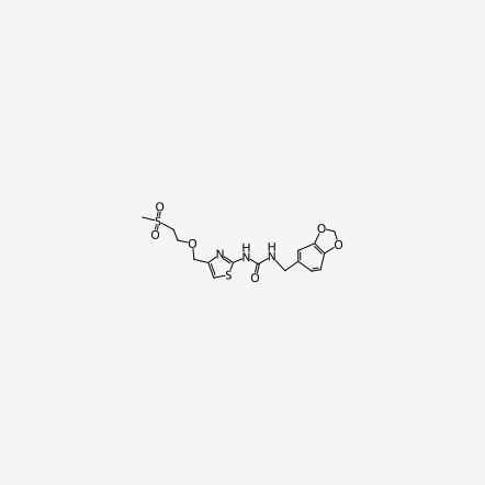 CS(=O)(=O)CCOCc1csc(NC(=O)NCc2ccc3c(c2)OCO3)n1